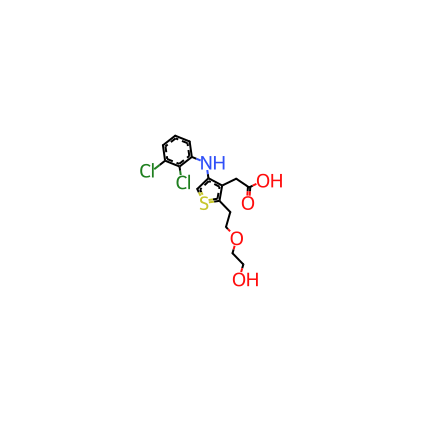 O=C(O)Cc1c(Nc2cccc(Cl)c2Cl)csc1CCOCCO